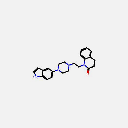 O=C1CCc2ccccc2N1CCN1CCN(c2ccc3[nH]ccc3c2)CC1